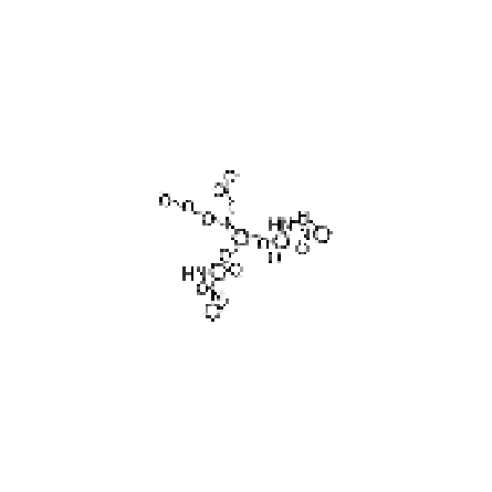 CNc1cc(OCc2cc(COc3cc4c(cc3OC)C(=O)N3c5ccccc5C[C@H]3CN4)cc(N(CCCC3OC3OC)CCOCCOCCOC)c2)c(OC)cc1C(=O)N1CCc2ccccc21